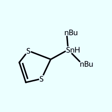 CCC[CH2][SnH]([CH2]CCC)[CH]1SC=CS1